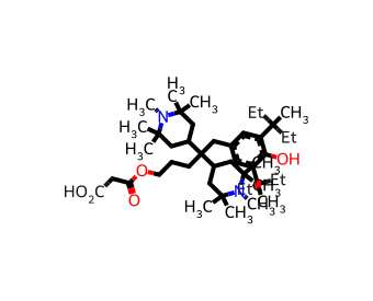 CCC(C)(CC)c1cc(CC(CCCOC(=O)CC(=O)O)(C2CC(C)(C)N(C)C(C)(C)C2)C2CC(C)(C)N(C)C(C)(C)C2)cc(C(C)(CC)CC)c1O